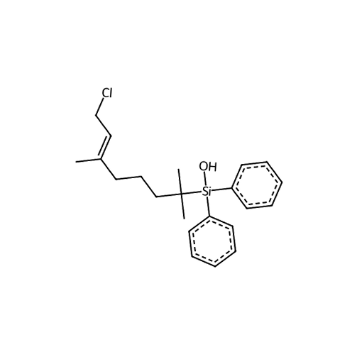 CC(=CCCl)CCCC(C)(C)[Si](O)(c1ccccc1)c1ccccc1